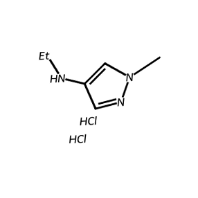 CCNc1cnn(C)c1.Cl.Cl